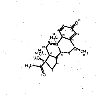 CC(=O)[C@@]1(O)CCC2C3C[C@H](C)C4=CC(=O)C=C[C@]4(C)C3=CC[C@@]21C